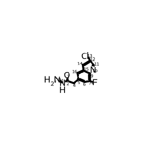 NNC(=O)Cc1cc(F)c2ncc(Cl)cc2c1